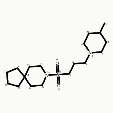 CC1CCN(CCCS(=O)(=O)N2CCC3(CCCC3)CC2)CC1